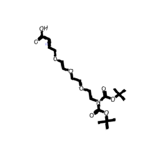 CC(C)(C)OC(=O)N(CCOCCOCCOC/C=C/C(=O)O)C(=O)OC(C)(C)C